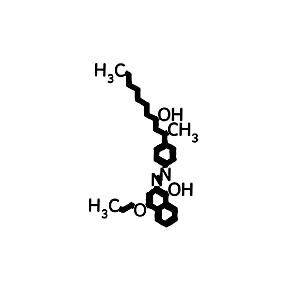 CCCCCCCC(O)CC(C)c1ccc(N=Nc2cc(OCCC)c3ccccc3c2O)cc1